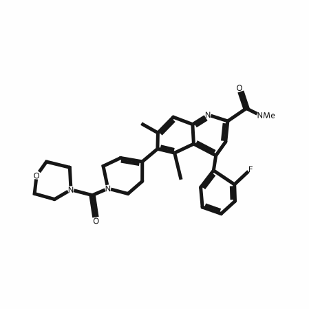 CNC(=O)c1cc(-c2ccccc2F)c2c(C)c(C3=CCN(C(=O)N4CCOCC4)CC3)c(C)cc2n1